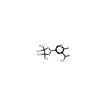 CC(F)c1cc(B2OC(C)(C)C(C)(C)O2)cnc1F